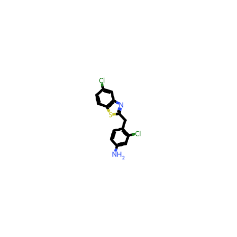 Nc1ccc(Cc2nc3cc(Cl)ccc3s2)c(Cl)c1